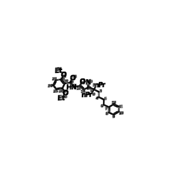 CCCC(CCC)(CCCCc1ccccc1)c1cc(NC(=O)c2c(OCC)cccc2OCC)on1